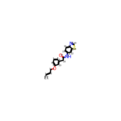 CCC=CCOc1cccc(CC(=O)Nc2ccc3ncsc3c2)c1